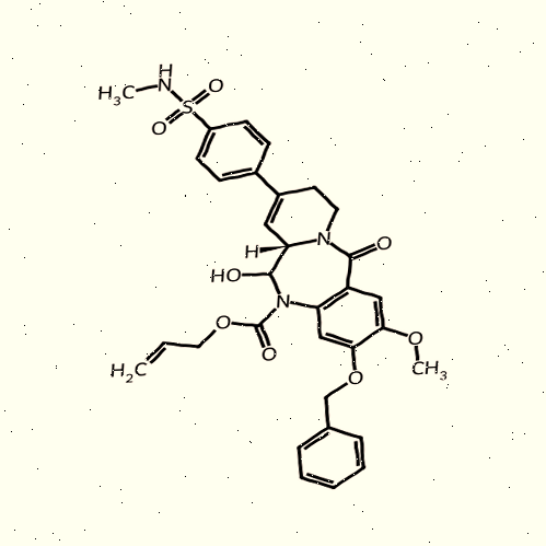 C=CCOC(=O)N1c2cc(OCc3ccccc3)c(OC)cc2C(=O)N2CCC(c3ccc(S(=O)(=O)NC)cc3)=C[C@H]2C1O